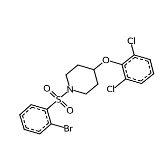 O=S(=O)(c1ccccc1Br)N1CCC(Oc2c(Cl)cccc2Cl)CC1